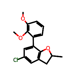 COc1cccc(-c2cc(Cl)cc3c2OC(C)C3)c1OC